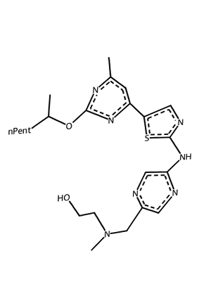 CCCCCC(C)Oc1nc(C)cc(-c2cnc(Nc3cnc(CN(C)CCO)cn3)s2)n1